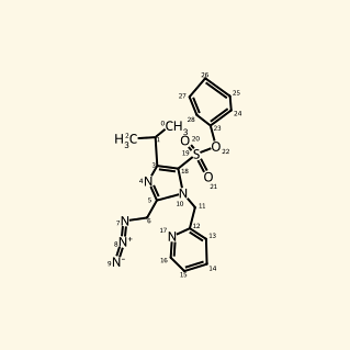 CC(C)c1nc(CN=[N+]=[N-])n(Cc2ccccn2)c1S(=O)(=O)Oc1ccccc1